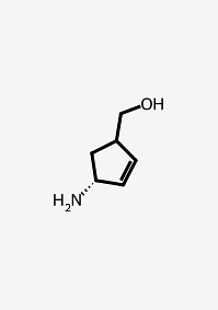 N[C@H]1C=CC(CO)C1